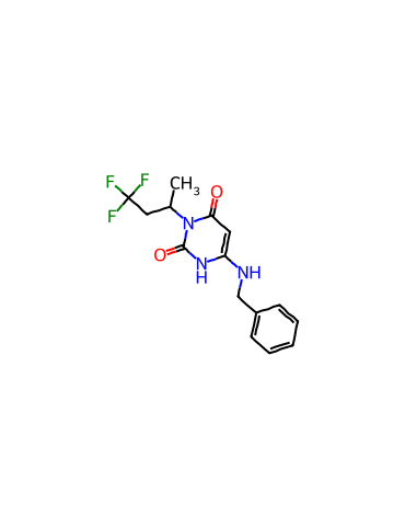 CC(CC(F)(F)F)n1c(=O)cc(NCc2ccccc2)[nH]c1=O